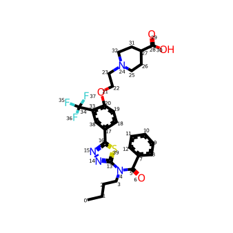 CCCCN(C(=O)c1ccccc1)c1nnc(-c2ccc(OCCN3CCC(C(=O)O)CC3)c(C(F)(F)F)c2)s1